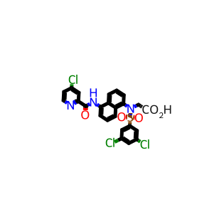 O=C(O)CN(c1cccc2c(NC(=O)c3cc(Cl)ccn3)cccc12)S(=O)(=O)c1cc(Cl)cc(Cl)c1